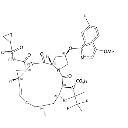 CC[C@@H]1C[C@H](C)CCC=C[C@@H]2C[C@@]2(C(=O)NS(=O)(=O)C2CC2)NC(=O)[C@@H]2C[C@@H](Oc3ncc(OC)c4ccc(F)cc34)CN2C(=O)[C@H]1N(C(=O)O)C(C)(C)C(C)(F)F